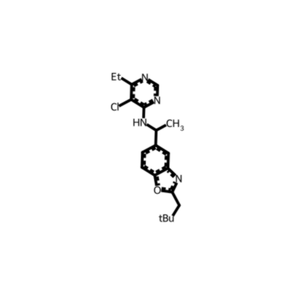 CCc1ncnc(NC(C)c2ccc3oc(CC(C)(C)C)nc3c2)c1Cl